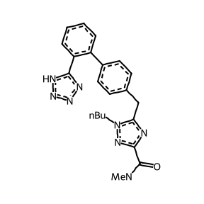 CCCCn1nc(C(=O)NC)nc1Cc1ccc(-c2ccccc2-c2nnn[nH]2)cc1